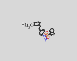 O=C(O)c1cccc(CCc2ccc(NS(=O)(=O)c3cccc4ccccc34)cc2)c1